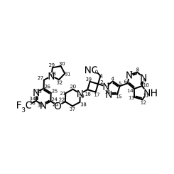 N#CCC1(n2cc(-c3ncnc4[nH]ccc34)cn2)CC(N2CCC(Oc3cc(CN4CCCC4)nc(C(F)(F)F)n3)CC2)C1